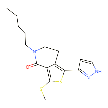 CCCCCN1CCc2c(-c3cc[nH]n3)sc(SC)c2C1=O